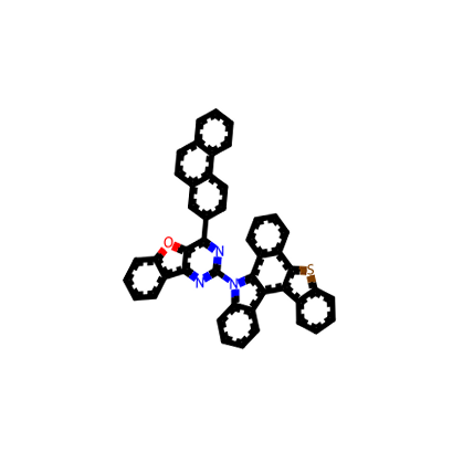 c1ccc2c(c1)ccc1cc(-c3nc(-n4c5ccccc5c5c6c7ccccc7sc6c6ccccc6c54)nc4c3oc3ccccc34)ccc12